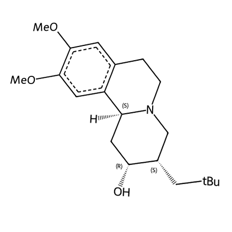 COc1cc2c(cc1OC)[C@@H]1C[C@@H](O)[C@@H](CC(C)(C)C)CN1CC2